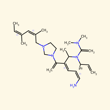 C=CC(C(C)C)N(C(=C)N(C)C)C(C)/C(=C\C=C/N)C(=C)N1CCN(C/C(C)=C\C(C)=C/C)C1